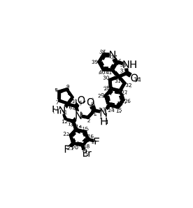 O=C(CN1C(=O)C2(CCCC2)NCC1c1cc(F)c(Br)c(F)c1)Nc1ccc2c(c1)CC1(C2)C(=O)Nc2ncccc21